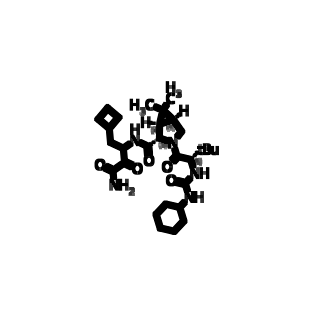 CC(C)(C)[C@H](NC(=O)NC1CCCCC1)C(=O)N1C[C@H]2[C@@H]([C@H]1C(=O)NC(CC1CCC1)C(=O)C(N)=O)C2(C)C